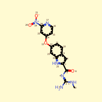 CNC(N)=NC(=O)c1cc2ccc(Oc3ccnc([N+](=O)[O-])c3)cc2[nH]1